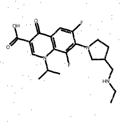 CCNCC1CCN(c2c(F)cc3c(=O)c(C(=O)O)cn(C(C)C)c3c2F)C1